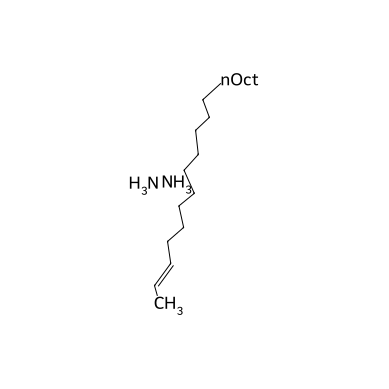 C/C=C/CCCCCCCCCCCCCCCCC.N.N